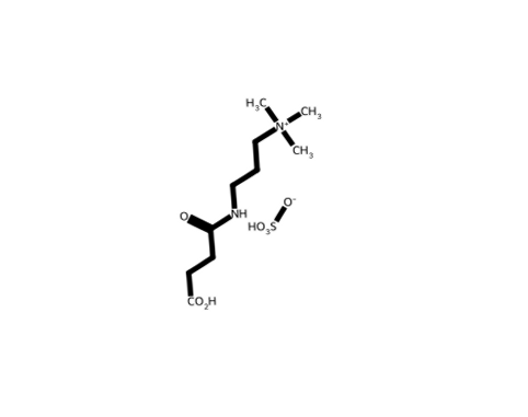 C[N+](C)(C)CCCNC(=O)CCC(=O)O.O=S(=O)([O-])O